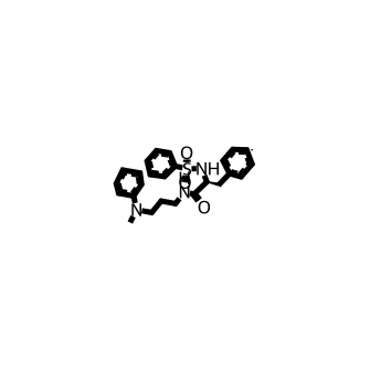 CN(CCCNC(=O)[C@H](Cc1cc[c]cc1)NS(=O)(=O)c1ccccc1)c1ccccc1